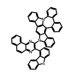 c1ccc2c(c1)-c1ccccc1-n1c3ccccc3c3cc4c(c-2c31)c1ccccc1n4-c1nc2c(ccc3ccccc32)nc1-c1cccc2sc3ccccc3c12